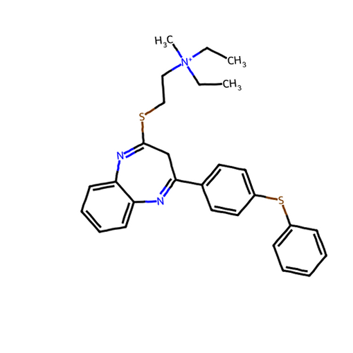 CC[N+](C)(CC)CCSC1=Nc2ccccc2N=C(c2ccc(Sc3ccccc3)cc2)C1